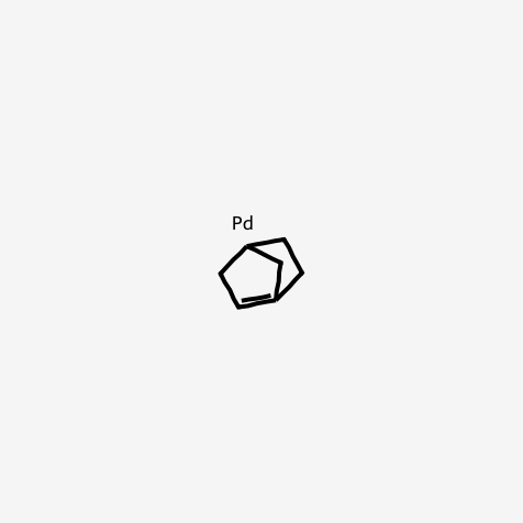 C1=C2CCC(C1)C2.[Pd]